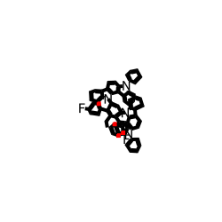 CCc1c(-c2ccc(F)cc2)c(-n2c3ccccc3c3ccc4c(c5ccccc5n4-c4ccccc4)c32)cc(-n2c3ccccc3c3ccc4c(c5ccccc5n4-c4ccccc4)c32)c1-c1ccc(F)cc1